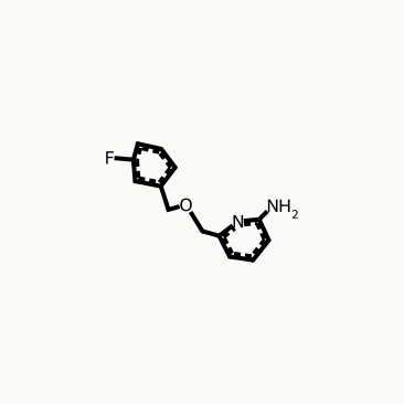 Nc1cccc(COCc2cccc(F)c2)n1